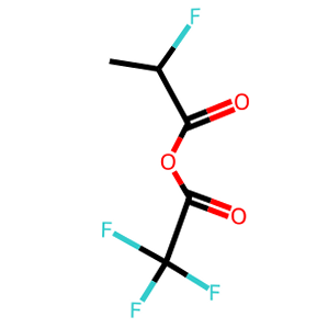 CC(F)C(=O)OC(=O)C(F)(F)F